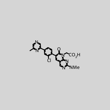 CNc1ncc2cc(-c3ccc(-c4cncc(C)n4)cc3Cl)c(=O)n(CC(=O)O)c2n1